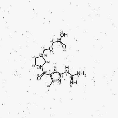 Cc1nc(NC(=N)N)sc1C(=O)N1CC[C@@H](COCC(=O)O)C1